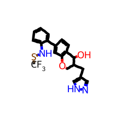 OC1c2ccc(-c3ccccc3NSC(F)(F)F)cc2OCC1Cc1cn[nH]c1